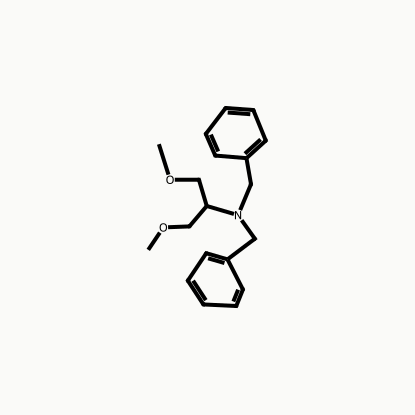 COCC(COC)N(Cc1ccccc1)Cc1ccccc1